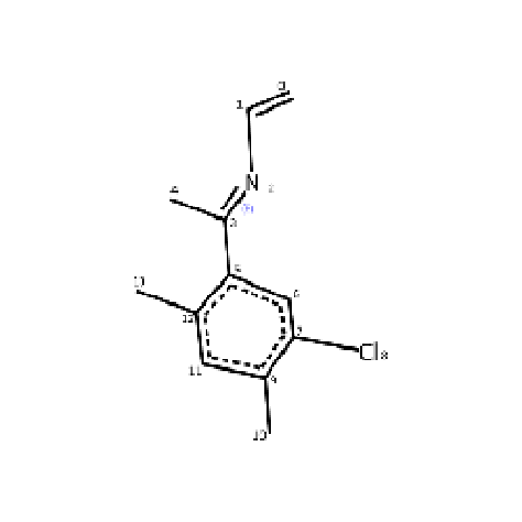 C=C/N=C(\C)c1cc(Cl)c(C)cc1C